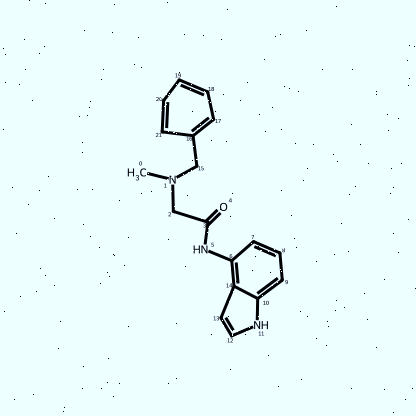 CN(CC(=O)Nc1cccc2[nH]ccc12)Cc1ccccc1